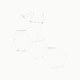 FC(F)(F)C1(c2cccc3cc4ccccc4cc23)N=N1